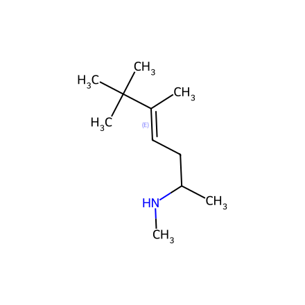 CNC(C)C/C=C(\C)C(C)(C)C